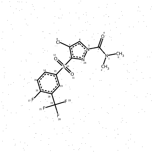 CN(C)C(=O)n1cc(Cl)c(S(=O)(=O)c2ccc(F)c(C(F)(F)F)c2)n1